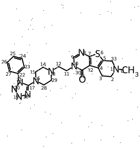 CN1CCc2c(sc3ncn(CCN4CCN(c5nnnn5-c5ccccc5)CC4)c(=O)c23)C1